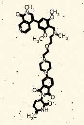 C=C1CCC(N2C(=O)c3ccc(N4CCN(CCOCCN(C)Cc5c(OC)cc(-c6cn(C)c(=O)c7cnccc67)cc5OC)CC4)cc3C2=O)C(=O)N1